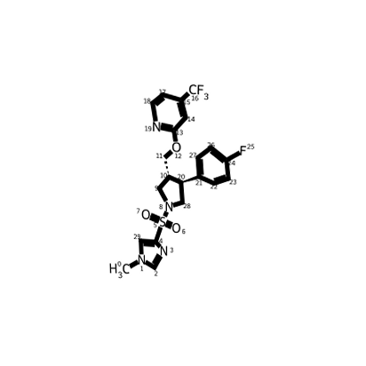 Cn1cnc(S(=O)(=O)N2C[C@H](COc3cc(C(F)(F)F)ccn3)[C@@H](c3ccc(F)cc3)C2)c1